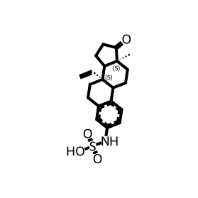 C=C[C@@]12CCc3cc(NS(=O)(=O)O)ccc3C1CC[C@]1(C)C(=O)CCC21